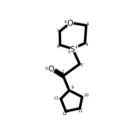 O=C(C[S+]1CCOCC1)C1CCCC1